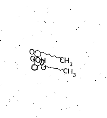 CCCCCCCCC1CCC2OC2C1.CCCCCCCCOC(=O)c1ccccc1C(=O)O